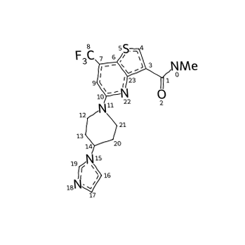 CNC(=O)c1csc2c(C(F)(F)F)cc(N3CCC(n4ccnc4)CC3)nc12